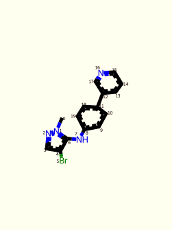 Cn1ncc(Br)c1Nc1ccc(-c2cccnc2)cc1